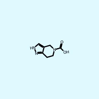 O=C(O)N1CCc2n[nH]cc2C1